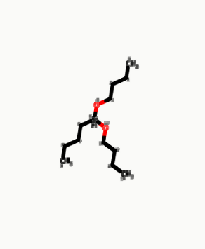 CCCCO[SiH](CCCC)OCCCC